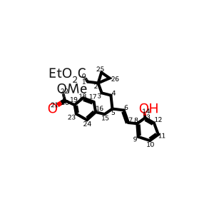 CCOC(=O)CC1(CCC(C=Cc2ccccc2O)Cc2ccc(C(=O)OC)cc2)CC1